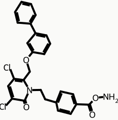 NOC(=O)c1ccc(CCn2c(COc3cccc(-c4ccccc4)c3)c(Cl)cc(Cl)c2=O)cc1